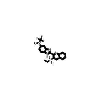 CCS(=O)(=O)c1cc2ccccc2nc1-c1nc2cc([S+]([O-])C(F)(F)F)ccc2[nH]1